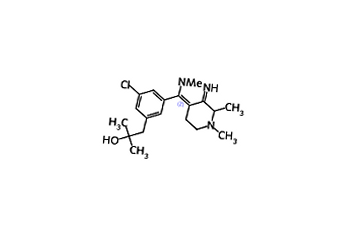 CN/C(=C1/CCN(C)C(C)C1=N)c1cc(Cl)cc(CC(C)(C)O)c1